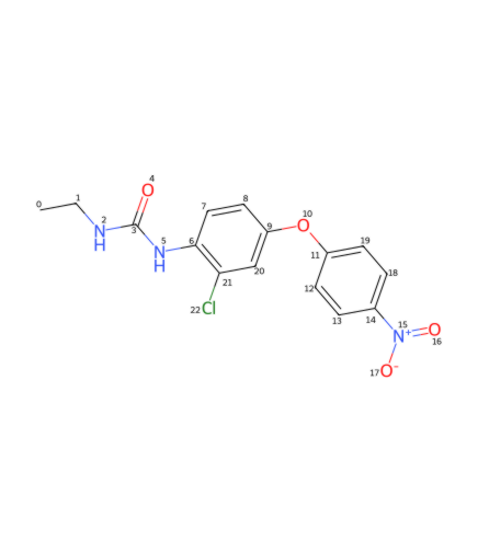 CCNC(=O)Nc1ccc(Oc2ccc([N+](=O)[O-])cc2)cc1Cl